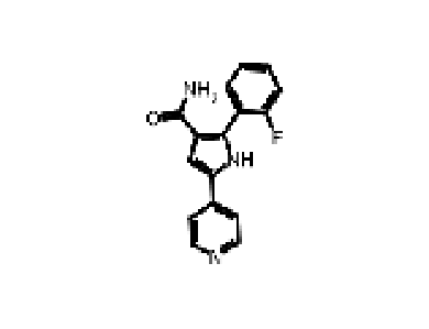 NC(=O)c1cc(-c2ccncc2)[nH]c1-c1ccccc1F